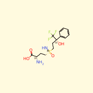 N=[S@@](=O)(CC[C@H](N)C(=O)O)CC[C@](O)(c1ccccc1)C(F)(F)F